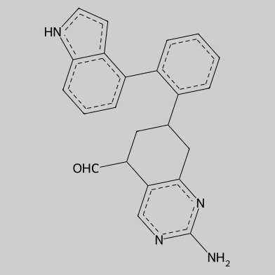 Nc1ncc2c(n1)CC(c1ccccc1-c1cccc3[nH]ccc13)CC2C=O